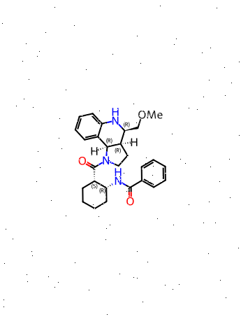 COC[C@@H]1Nc2ccccc2[C@H]2[C@@H]1CCN2C(=O)[C@H]1CCCC[C@H]1NC(=O)c1ccccc1